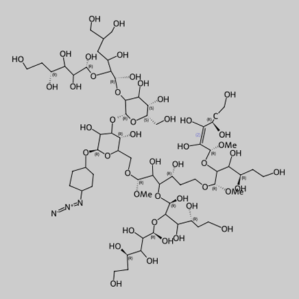 CO[C@H](OC(C(O)[C@H](O)CCO)[C@H](OC)OCC[C@@H](O)C(O[C@@H](O)C(O[C@@H](O)C(O)C(O)[C@H](O)CCO)C(O)[C@H](O)CCO)C(O)[C@H](OC)OCC1O[C@@H](OC2CCC(N=[N+]=[N-])CC2)C(O)C(O[C@H]2O[C@@H](CO)[C@@H](O)C(O)C2O[C@@H](O)C(O[C@@H](O)C(O)C(O)[C@H](O)CCO)C(O)CC(CO)CO)[C@@H]1O)/C(O)=C(/O)[C@H](O)CCO